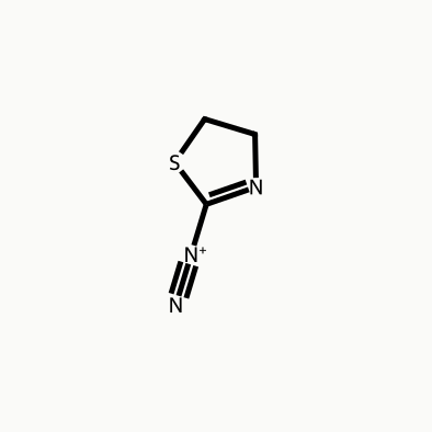 N#[N+]C1=NCCS1